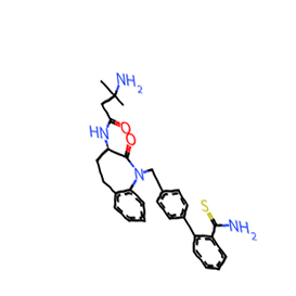 CC(C)(N)CC(=O)N[C@@H]1CCc2ccccc2N(Cc2ccc(-c3ccccc3C(N)=S)cc2)C1=O